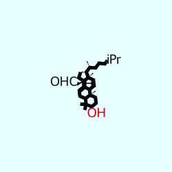 CC(C)CCC[C@@H](C)[C@H]1CC[C@@]2(CC=O)C3=CCC4C(C)(C)[C@@H](O)CC[C@]4(C)[C@H]3CC[C@]12C